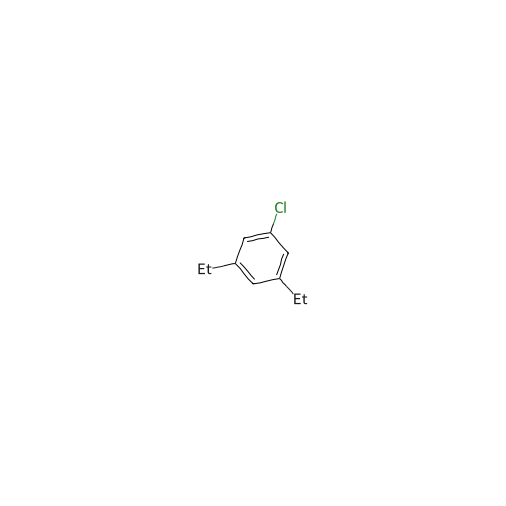 CCc1cc(Cl)cc(CC)c1